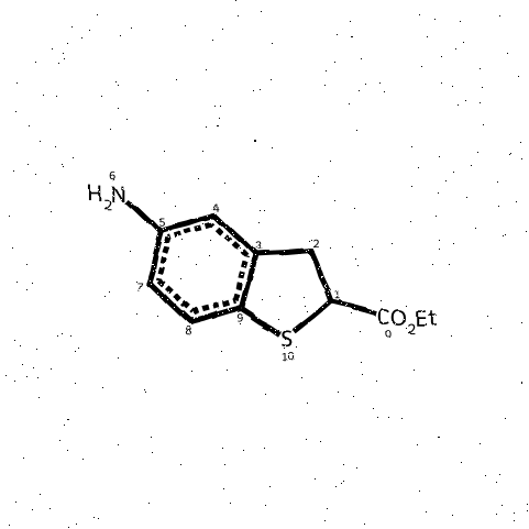 CCOC(=O)C1Cc2cc(N)ccc2S1